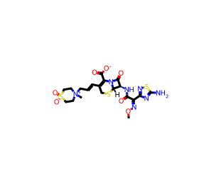 CO/N=C(\C(=O)N[C@@H]1C(=O)N2C(C(=O)[O-])=C(/C=C/C[N+]3(C)CCS(=O)(=O)CC3)CS[C@@H]12)c1nsc(N)n1